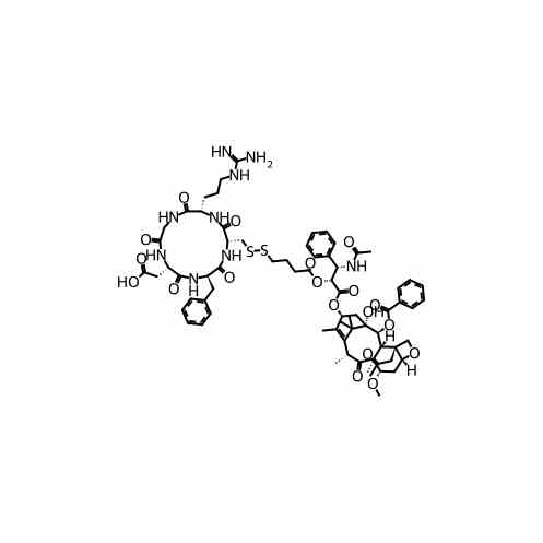 CO[C@H]1C[C@H]2OC[C@@]2(CC(C)=O)[C@H]2[C@H](OC(=O)c3ccccc3)[C@]3(O)C[C@H](OC(=O)[C@H](OC(=O)CCCSSC[C@@H]4NC(=O)[C@@H](Cc5ccccc5)NC(=O)[C@H](CC(=O)O)NC(=O)CNC(=O)[C@H](CCCNC(=N)N)NC4=O)[C@@H](NC(C)=O)c4ccccc4)C(C)=C([C@@H](C)C(=O)[C@]12C)C3(C)C